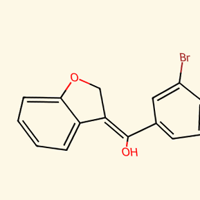 OC(=C1COc2ccccc21)c1cccc(Br)c1